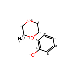 C1COCCO1.[Na+].[O-]c1ccccc1